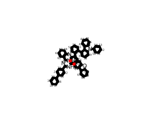 C1=CC2Oc3ccc(C4NC(c5ccc(C6=CCCC=C6)cc5)=NC(C5=C(n6c7ccccc7c7c(C8=CC=CC9C8c8ccccc8N9c8ccccc8)cccc76)CCC=C5)N4)cc3C2C=C1